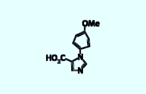 COc1ccc(-n2cncc2C(=O)O)cc1